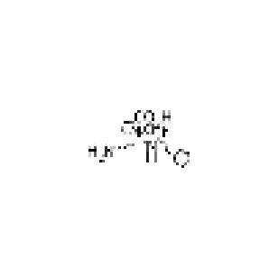 CCC(CCc1ccccc1)NC(CCCCN)C(=O)N1CCCC1C(=O)O